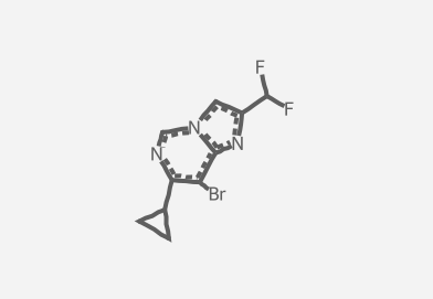 FC(F)c1cn2cnc(C3CC3)c(Br)c2n1